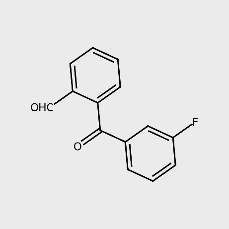 O=Cc1ccccc1C(=O)c1cccc(F)c1